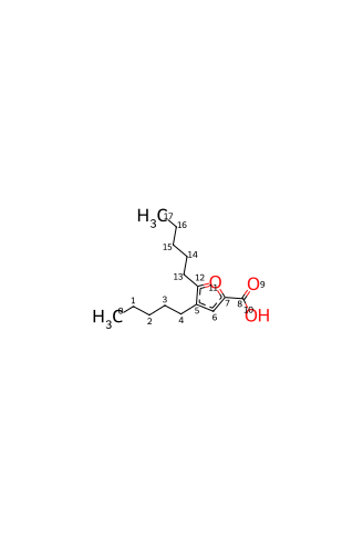 CCCCCc1cc(C(=O)O)oc1CCCCC